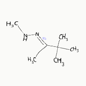 CN/N=C(\C)C(C)(C)C